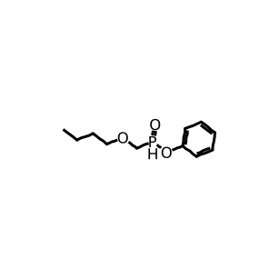 CCCCOC[PH](=O)Oc1ccccc1